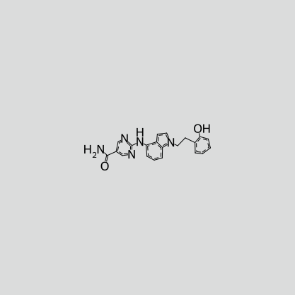 NC(=O)c1cnc(Nc2cccc3c2ccn3CCc2ccccc2O)nc1